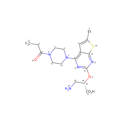 CCc1cc2c(N3CCN(C(=O)CC(F)(F)F)CC3)nc(O[C@@H](CN)C(=O)O)nc2s1